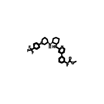 COC(=O)N(C)c1cccc(-c2ccnc(N[C@@H]3CCCC[C@H]3N[C@H]3CCCN(c4ccc(C(F)(F)F)cc4)C3)c2)c1